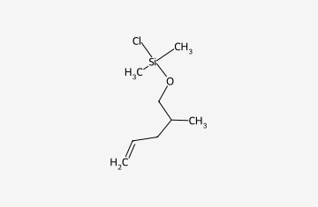 C=CCC(C)CO[Si](C)(C)Cl